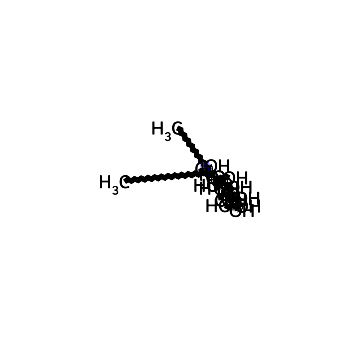 CCCCCCCCCCCCC/C=C/[C@@H](O)[C@H](CO[C@@H]1OC(CO)[C@@H](O[C@@H]2OC(CO)[C@H](O)[C@H](O[C@H]3OC(CO)[C@H](O)[C@H](O)C3O)C2O)[C@H](O)C1O)NC(=O)CCCCCCCCCCCCCCCCCCCCCCC